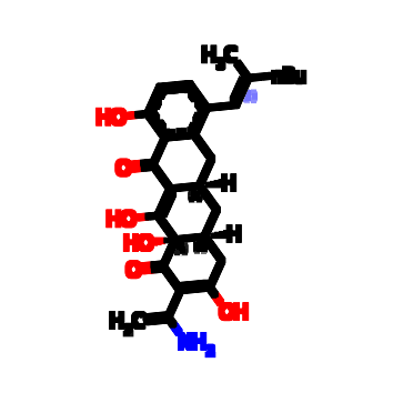 C=C(N)C1=C(O)C[C@@H]2C[C@@H]3Cc4c(/C=C(\C)CCCC)ccc(O)c4C(=O)C3=C(O)[C@]2(O)C1=O